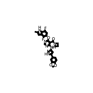 Cc1cc2c(F)c(Oc3ncnc(Nc4cc(-c5ccc6c(c5)OCO6)[nH]n4)c3C(=O)N3CCC3)cc(F)c2[nH]1